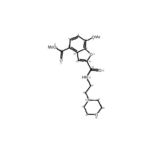 COC(=O)c1ccc(OC)c2oc(C(=O)NCCN3CCOCC3)cc12